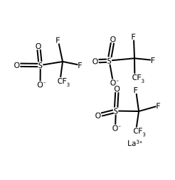 O=S(=O)([O-])C(F)(F)C(F)(F)F.O=S(=O)([O-])C(F)(F)C(F)(F)F.O=S(=O)([O-])C(F)(F)C(F)(F)F.[La+3]